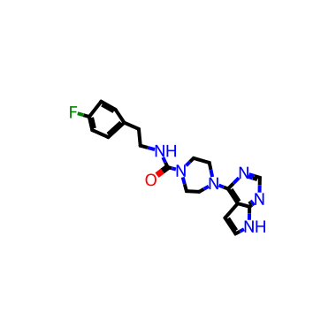 O=C(NCCc1ccc(F)cc1)N1CCN(c2ncnc3[nH]ccc23)CC1